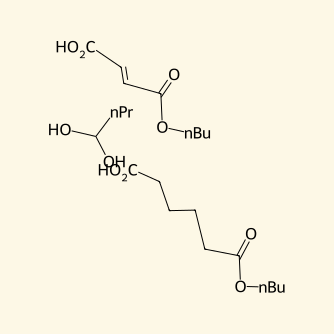 CCCC(O)O.CCCCOC(=O)C=CC(=O)O.CCCCOC(=O)CCCCC(=O)O